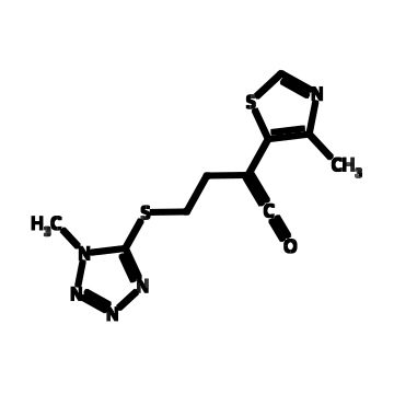 Cc1ncsc1C(=C=O)CCSc1nnnn1C